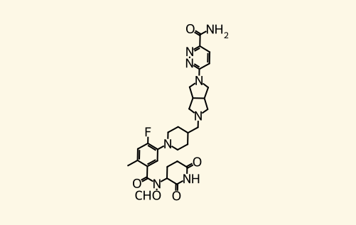 Cc1cc(F)c(N2CCC(CN3CC4CN(c5ccc(C(N)=O)nn5)CC4C3)CC2)cc1C(=O)N(C=O)C1CCC(=O)NC1=O